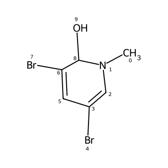 CN1C=C(Br)C=C(Br)C1O